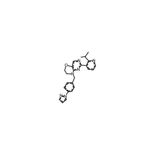 CC(C)c1ncccc1-c1ncc2c(n1)N(Cc1ccc(-n3cccn3)cc1)CCO2